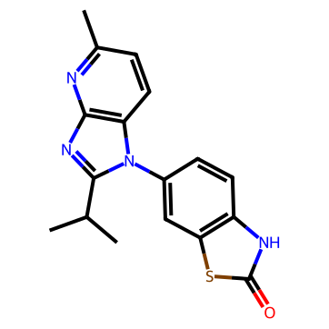 Cc1ccc2c(n1)nc(C(C)C)n2-c1ccc2[nH]c(=O)sc2c1